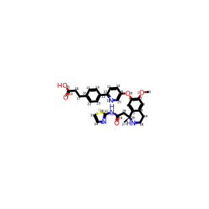 COc1cc2c(cc1Oc1ccc(-c3ccc(CCC(=O)O)cc3)nc1)[C@@](C)(CC(=O)Nc1nccs1)NCC2